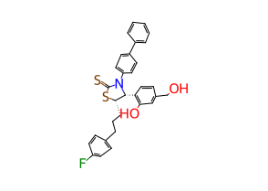 OCc1ccc([C@@H]2[C@H](CCCc3ccc(F)cc3)SC(=S)N2c2ccc(-c3ccccc3)cc2)c(O)c1